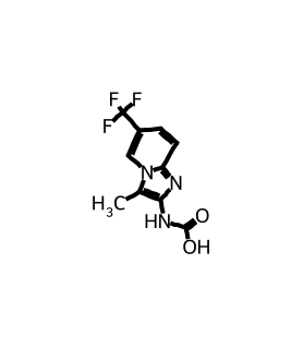 Cc1c(NC(=O)O)nc2ccc(C(F)(F)F)cn12